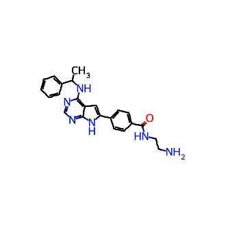 CC(Nc1ncnc2[nH]c(-c3ccc(C(=O)NCCN)cc3)cc12)c1ccccc1